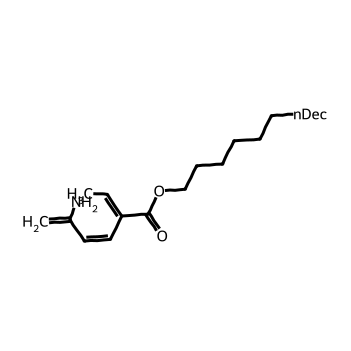 C=C(N)/C=C\C(=C/C)C(=O)OCCCCCCCCCCCCCCCC